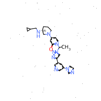 CC(n1cc(-c2cncc(-n3ccnc3)c2)nn1)n1ccc(N2CCC[C@@H](NCC3CC3)C2)cc1=O